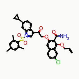 C=CCOc1c(C(N)=O)c(OCC(=O)c2cn(S(=O)(=O)c3c(C)cc(C)cc3C)c3cc(C4CC4)ccc23)cc2ccc(Cl)cc12